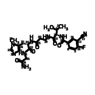 CC(C)[C@H](NC(=O)c1ccc(F)c(C#N)c1)C(=O)NCCC(=O)N[C@@H](Cc1cncn1C)C(=O)NCC(N)=O